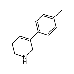 Cc1ccc(C2=CCCNC2)cc1